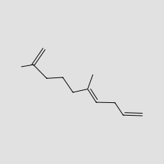 C=CC/C=C(\C)CCCC(=C)C